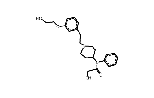 CCC(=O)N(c1ccccc1)C1CCN(CCc2cccc(OCCO)c2)CC1